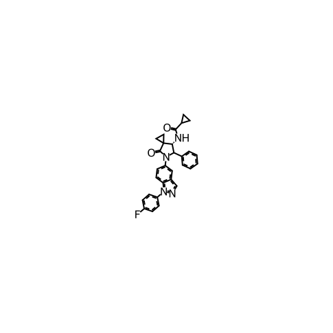 O=C(N[C@@H]1C(c2ccccc2)N(c2ccc3c(cnn3-c3ccc(F)cc3)c2)C(=O)C12CC2)C1CC1